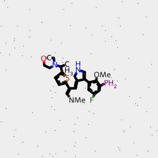 CN/C=C(\C=C1/CNC=C1c1cc(F)cc(P)c1OC)c1ccc(C(C)N2CCOCC2)s1